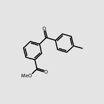 COC(=O)c1cccc(C(=O)c2ccc(C)cc2)c1